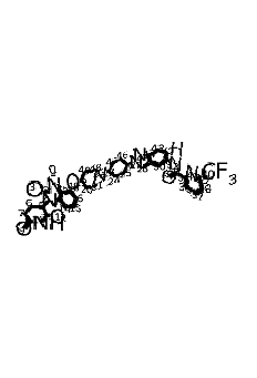 Cn1c(=O)n(C2CCC(=O)NC2=O)c2cccc(OC3CCN([C@H]4CC[C@H](n5cc6cc(NC(=O)c7cccc(C(F)(F)F)n7)ccc6n5)CC4)CC3)c21